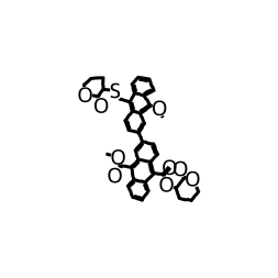 COC(=O)c1c2ccccc2c(C(=O)OC2CCCOC2=O)c2ccc(-c3ccc4c(CSC5CCCOC5=O)c5ccccc5c(OC)c4c3)cc12